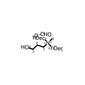 CCCCCCCCCC[N+](C)(CCCO)CCCCCCCCCC.O=C[O-]